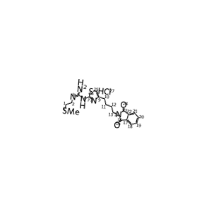 CSCC/N=C(/N)Nc1nc(CCCCN2C(=O)c3ccccc3C2=O)cs1.Cl